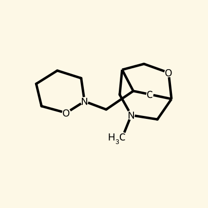 CN1CC2CC(CN3CCCCO3)C(CO2)C1